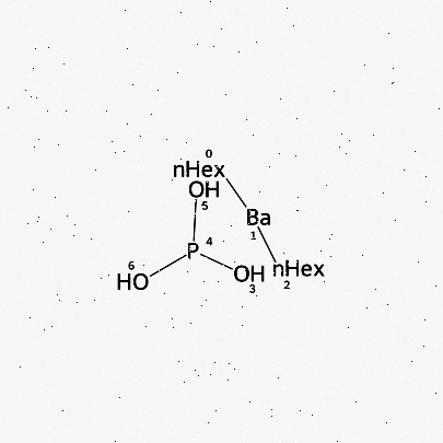 CCCCC[CH2][Ba][CH2]CCCCC.OP(O)O